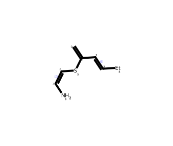 C=C(/C=C/CC)S/C=C\N